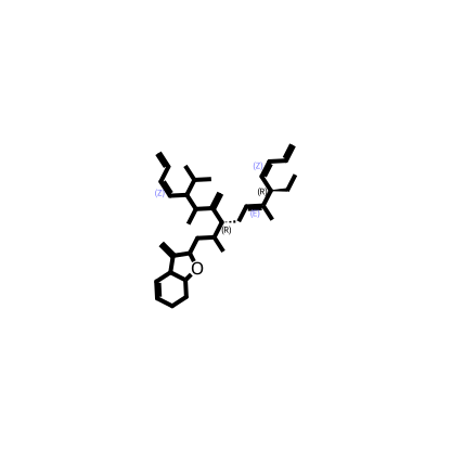 C=C/C=C\C(C(C)C)C(C)C(=C)[C@H](C/C=C(\C)[C@@H](/C=C\C=C)CC)C(C)CC1OC2CCC=CC2C1=C